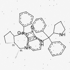 C[C@@H](Nc1c(NC(c2ccccc2)(c2ccccc2)C2CCCN2)c(=O)c1=O)[C@@H]1CCCC1P(c1ccccc1)c1ccccc1